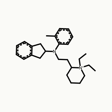 CC[N+]1(CC)CCCCC1CCN(c1ccccc1C)C1Cc2ccccc2C1